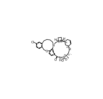 C[C@@H]1[C@@H](C)C[C@H]2C=CC[C@](O)(C2)[C@@H]2CC[C@H]2CN2CCCCc3cc(Cl)ccc3COc3ccc(cc32)C(=O)NS1(=O)=O